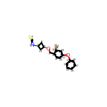 S=C=N[C@H]1C[C@@H](OCc2ccc(Oc3ccccc3)cc2Br)C1